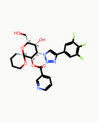 O=C(O[C@@H]1[C@@H](n2cc(-c3cc(F)c(F)c(F)c3)nn2)[C@@H](O)[C@@H](CO)O[C@@]12CCCCO2)c1cccnc1